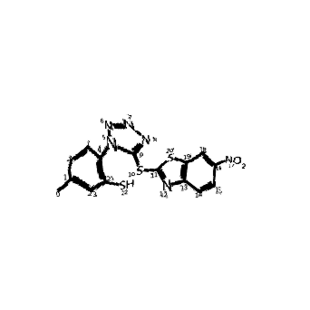 Cc1ccc(-n2nnnc2Sc2nc3ccc([N+](=O)[O-])cc3s2)c(S)c1